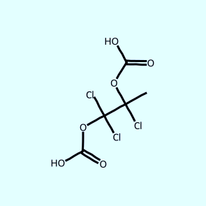 CC(Cl)(OC(=O)O)C(Cl)(Cl)OC(=O)O